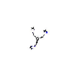 Cc1cc[n+](CCCC#Cc2cc(C#CCCC[n+]3ccc(C)c(C)c3)cc(C#CCCC[n+]3ccc(C)c(C)c3)c2)cc1C